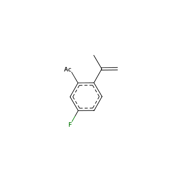 C=C(C)c1ccc(F)cc1C(C)=O